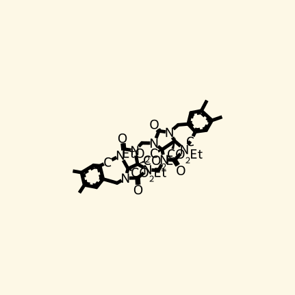 CCOC(=O)[C@]12N3Cc4cc(C)c(C)cc4CN1C(=O)N1CN4C(=O)N5Cc6cc(C)c(C)cc6CN6C(=O)N(CN(C3=O)[C@]12C(=O)OCC)[C@@]4(C(=O)OCC)[C@@]65C(=O)OCC